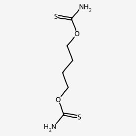 NC(=S)OCCCCOC(N)=S